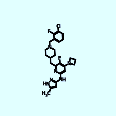 Cc1cc(Nc2cc(N3CCC3)c(F)c(CC3CCN(Cc4cccc(Cl)c4F)CC3)n2)n[nH]1